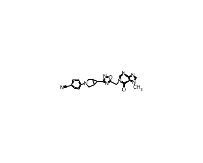 Cn1cnc2ncn(Cc3nc(C4C5CN(c6ccc(C#N)cc6)CC54)no3)c(=O)c21